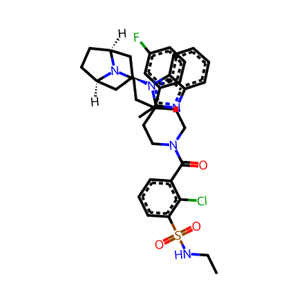 CCNS(=O)(=O)c1cccc(C(=O)N2CCC(CCN3[C@@H]4CC[C@H]3C[C@@H](n3c(C)nc5ccccc53)C4)(c3cccc(F)c3)CC2)c1Cl